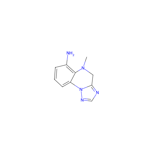 CN1Cc2ncnn2-c2cccc(N)c21